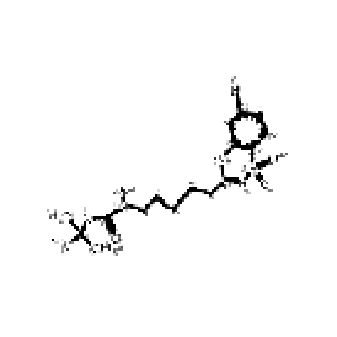 CC(C)(C)OC(=O)N(S)CCCCCC1=NS(=O)(=O)c2ccc(Br)cc2N1